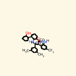 Cc1cc(C)cc(C(Nc2c(-c3ccccc3O)cccc2C(C)(C)C(=O)O)=C2C(=O)Nc3cc(C(F)(F)F)ccc32)c1